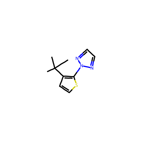 CC(C)(C)c1ccsc1-n1nccn1